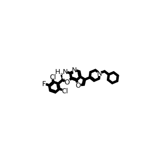 C[C@@H](Oc1c(N)ncc2c(C3=CCN(CC4CCCCC4)CC3)coc12)c1c(Cl)ccc(F)c1Cl